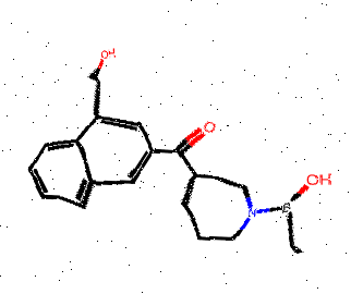 CB(O)N1CCCC(C(=O)c2cc(CO)c3ccccc3c2)C1